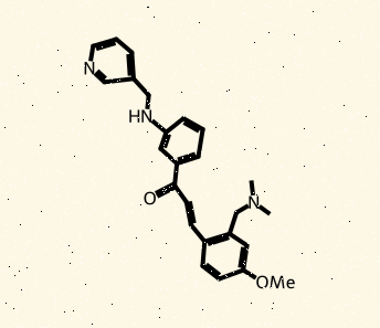 COc1ccc(C=CC(=O)c2cccc(NCc3cccnc3)c2)c(CN(C)C)c1